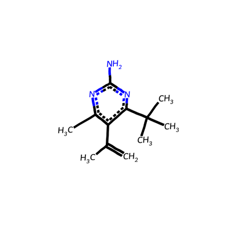 C=C(C)c1c(C)nc(N)nc1C(C)(C)C